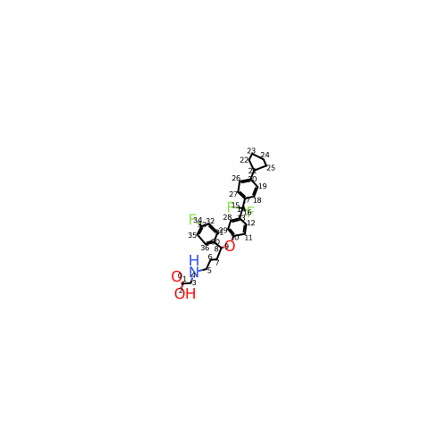 O=C(O)CNCCCC(Oc1ccc(C(F)(F)c2ccc(C3CCCC3)cc2)cc1)c1ccc(F)cc1